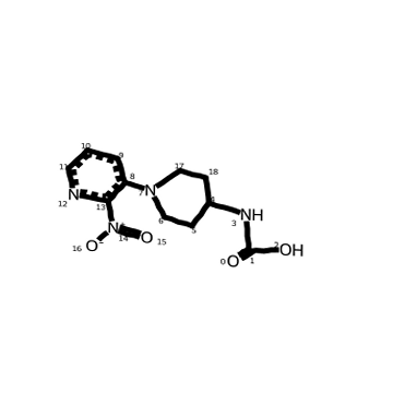 O=C(O)NC1CCN(c2cccnc2[N+](=O)[O-])CC1